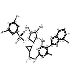 Cc1nc(N[C@H](C)C2CC2)nc(N[C@@H]2C[C@H](CS(=O)(=O)c3cc(F)cc(F)c3)[C@@H](O)[C@H]2O)c1-c1nc2c(C)nccc2s1